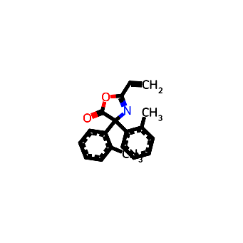 C=CC1=NC(c2ccccc2C)(c2ccccc2C)C(=O)O1